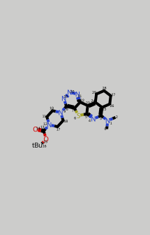 CN(C)c1nc2sc3c(N4CCN(C(=O)OC(C)(C)C)CC4)nnnc3c2c2c1CCCC2